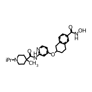 CC(C)N1CCC(C)(C(=O)Nc2cc(OC3CCc4cc(C(=O)NO)ccc4C3)ccn2)CC1